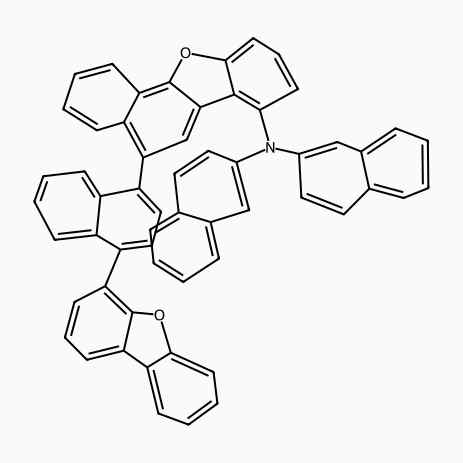 c1ccc2cc(N(c3ccc4ccccc4c3)c3cccc4oc5c6ccccc6c(-c6ccc(-c7cccc8c7oc7ccccc78)c7ccccc67)cc5c34)ccc2c1